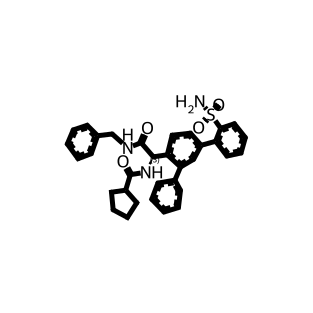 NS(=O)(=O)c1ccccc1-c1ccc([C@H](NC(=O)C2CCCC2)C(=O)NCc2ccccc2)c(-c2ccccc2)c1